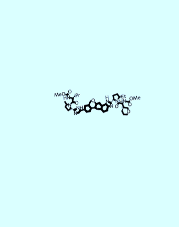 CC[C@H]1CC[C@@H](c2nc3ccc4cc5c(cc4c3[nH]2)OCc2cc(-c3cnc([C@@H]4CCC(C)N4C(=O)[C@@H](NC(=O)OC)C(C)C)[nH]3)ccc2-5)N1C(=O)[C@@H](NC(=O)OC)[C@@H]1CCCOC1